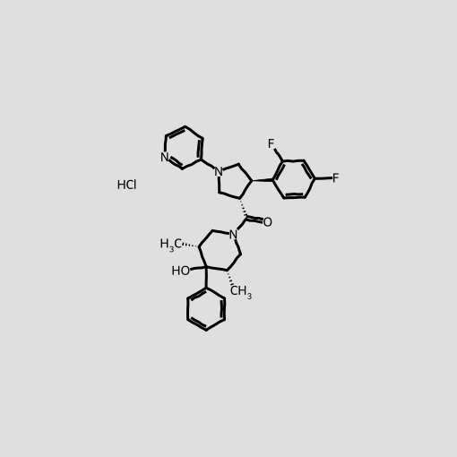 C[C@@H]1CN(C(=O)[C@@H]2CN(c3cccnc3)C[C@H]2c2ccc(F)cc2F)C[C@H](C)C1(O)c1ccccc1.Cl